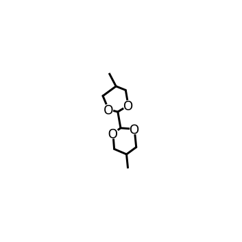 CC1COC(C2OCC(C)CO2)OC1